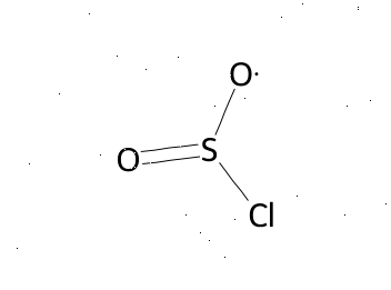 [O]S(=O)Cl